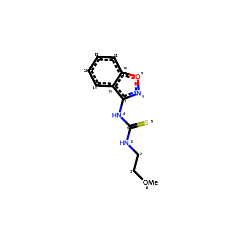 COCCNC(=S)Nc1noc2ccccc12